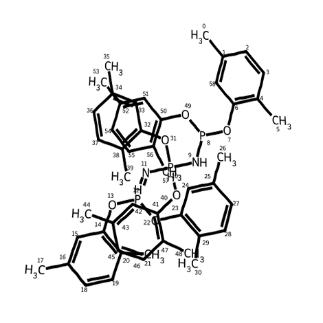 Cc1ccc(C)c(OP(N[PH](N=[PH](Oc2cc(C)ccc2C)Oc2cc(C)ccc2C)(Oc2cc(C)ccc2C)Oc2cc(C)ccc2C)Oc2cc(C)ccc2C)c1